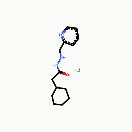 Cl.O=C(CC1CCCCC1)NNCc1ccccn1